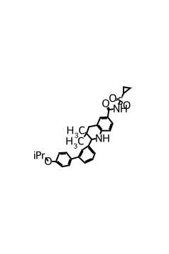 CC(C)Oc1ccc(-c2cccc(C3Nc4ccc(C(=O)NS(=O)(=O)C5CC5)cc4CC3(C)C)c2)cc1